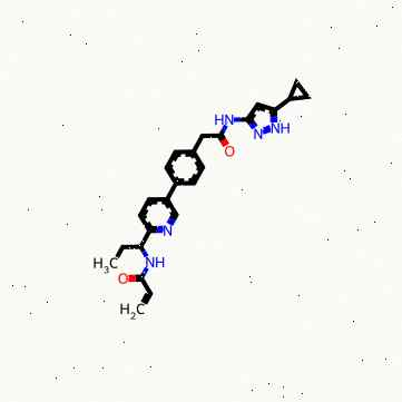 C=CC(=O)NC(CC)c1ccc(-c2ccc(CC(=O)Nc3cc(C4CC4)[nH]n3)cc2)cn1